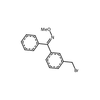 CO/N=C(\c1ccccc1)c1cccc(CBr)c1